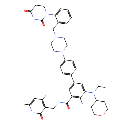 CCN(c1cc(-c2ccc(N3CCN(Cc4ccccc4N4CCC(=O)NC4=O)CC3)cc2)cc(C(=O)NCc2c(C)cc(C)[nH]c2=O)c1C)C1CCOCC1